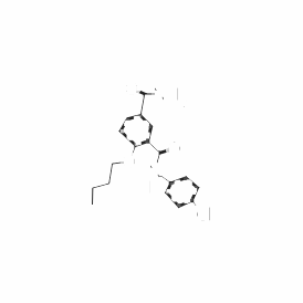 CCCCOc1ccc(C(N)=O)cc1C(=O)Nc1ccc(Cl)cc1